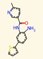 Cc1ccc(C(=O)Nc2cc(-c3cccs3)ccc2N)cn1